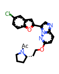 CC(=O)N1CCC[C@H]1CCOc1ccc2ncc(-c3cc4cc(Cl)ccc4o3)n2n1